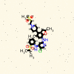 Cc1cc(Nc2cc(Nc3ccccc3S(=O)(=O)C(C)C)c(Cl)cn2)c2c(c1C1CCN(CCS(C)(=O)=O)CC1)C[C@H](C)O2